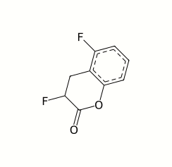 O=C1Oc2cccc(F)c2CC1F